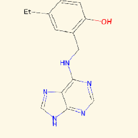 CCc1ccc(O)c(CNc2ncnc3[nH]cnc23)c1